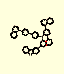 c1ccc(-c2ccc(-c3cccc4ccccc34)cc2N(c2ccc(-c3ccc(-c4cccc5ccccc45)cc3)cc2)c2cccc(-c3ccc4oc5ccccc5c4c3)c2)cc1